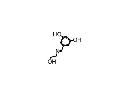 OCCN=Cc1cc(O)cc(O)c1